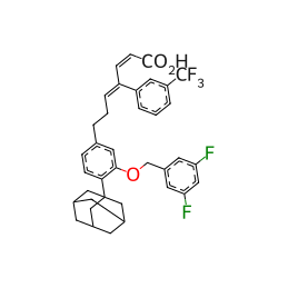 O=C(O)/C=C\C(=C\CCc1ccc(C23CC4CC(CC(C4)C2)C3)c(OCc2cc(F)cc(F)c2)c1)c1cccc(C(F)(F)F)c1